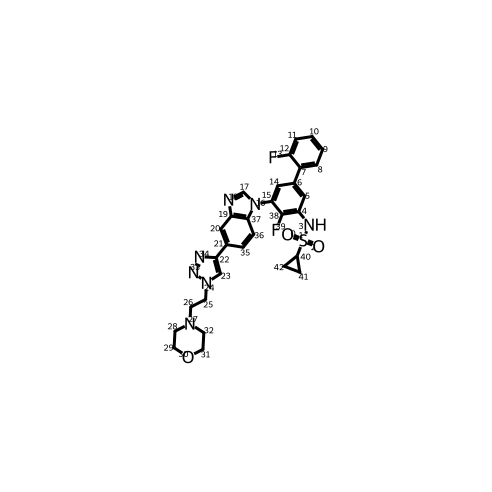 O=S(=O)(Nc1cc(-c2ccccc2F)cc(-n2cnc3cc(-c4cn(CCN5CCOCC5)nn4)ccc32)c1F)C1CC1